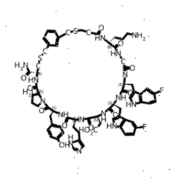 C[C@@]12CCCN1C(=O)[C@H](Cc1ccc(O)cc1)NC(=O)[C@H](CCc1cnc[nH]1)NC(=O)[C@H](CC(=O)O)NC(=O)[C@H](Cc1c[nH]c3ccc(F)cc13)NC(=O)[C@H](Cc1c[nH]c3ccc(F)cc13)NC(=O)CNC(=O)[C@@H](CCCN)NC(=O)CCSCc1cccc(c1)CSC[C@@H](C(N)=O)NC2=O